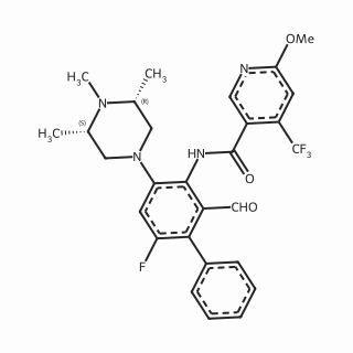 COc1cc(C(F)(F)F)c(C(=O)Nc2c(N3C[C@@H](C)N(C)[C@@H](C)C3)cc(F)c(-c3ccccc3)c2C=O)cn1